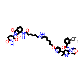 CC1=C(c2ccc(OCCCCCc3cn(CCCCCC(=O)Nc4cccc5c4C(=O)N(C4CCC(=O)NC4=O)C5=O)nn3)nc2)CC(NC(=O)c2cccc(C(F)(F)F)c2)(N2CCOCC2)C=N1